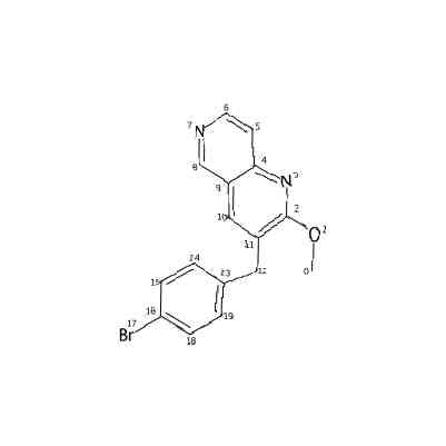 COc1nc2ccncc2cc1Cc1ccc(Br)cc1